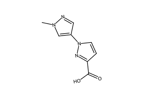 Cn1cc(-n2ccc(C(=O)O)n2)cn1